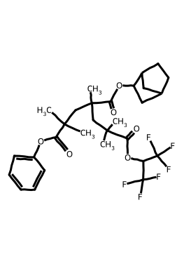 CC(C)(CC(C)(CC(C)(C)C(=O)OC(C(F)(F)F)C(F)(F)F)C(=O)OC1CC2CCC1C2)C(=O)Oc1ccccc1